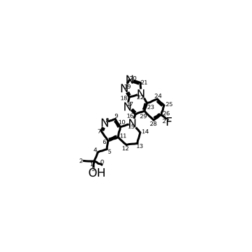 CC(C)(O)CCc1cncc2c1CCCN2c1nc2nncn2c2ccc(F)cc12